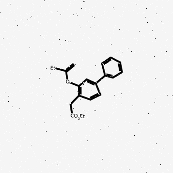 C=C(CC)Oc1cc(-c2ccccc2)ccc1CC(=O)OCC